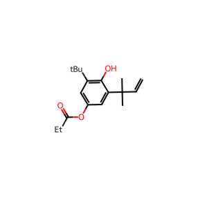 C=CC(C)(C)c1cc(OC(=O)CC)cc(C(C)(C)C)c1O